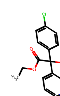 CCOC(=O)C(O)(c1ccc(Cl)cc1)c1cccnc1